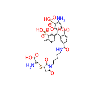 C=c1ccc2c(c1S(=O)(=O)O)Oc1c(ccc(N)c1S(=O)(=O)O)C=2c1cc(C(=O)NCCCCCN2C(=O)CC(SC[C@H](N)C(=O)O)C2=O)ccc1C(=O)O